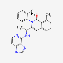 Cc1ccccc1-n1c(C(C)Nc2nccc3[nH]cnc23)cc2cccc(C)c2c1=O